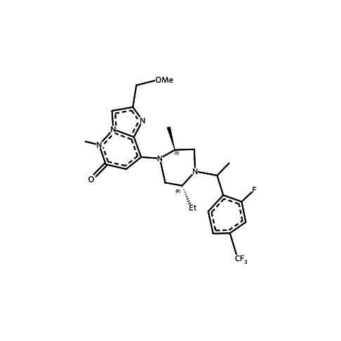 CC[C@@H]1CN(c2cc(=O)n(C)n3cc(COC)nc23)[C@@H](C)CN1C(C)c1ccc(C(F)(F)F)cc1F